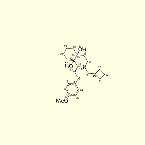 COc1ccc(CC[C@@H]2N(CC3CCC3)CC[C@@]3(O)CCCC[C@]23O)cc1